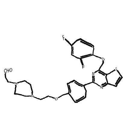 O=CCN1CCN(CCOc2ccc(-c3nc(Oc4ccc(F)cc4F)c4sccc4n3)cc2)CC1